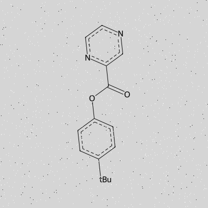 CC(C)(C)c1ccc(OC(=O)c2cnccn2)cc1